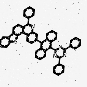 c1ccc(-c2nc(-c3ccccc3)nc(-c3c4ccccc4c(-c4ccc5c(c4)nc(-c4ccccc4)c4ccc6c7ccccc7sc6c45)c4ccccc34)n2)cc1